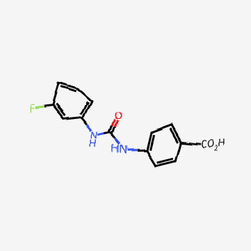 O=C(Nc1ccc(C(=O)O)cc1)Nc1cccc(F)c1